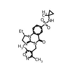 CC[C@@H]1CN=C2N(Cc3c(C)noc3C)C(=O)c3cc(S(=O)(=O)NC4(C)CC4)ccc3N21